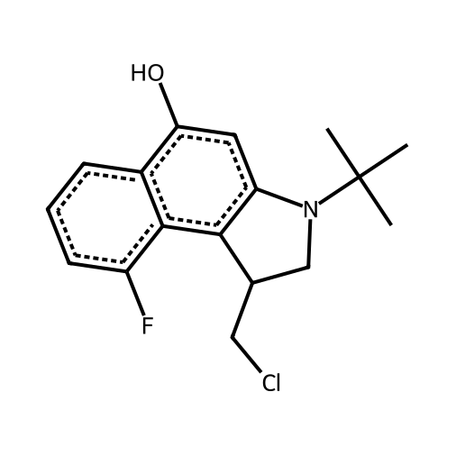 CC(C)(C)N1CC(CCl)c2c1cc(O)c1cccc(F)c21